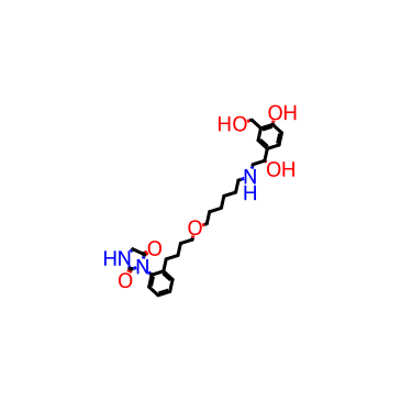 O=C1CNC(=O)N1c1ccccc1CCCCOCCCCCCNC[C@H](O)c1ccc(O)c(CO)c1